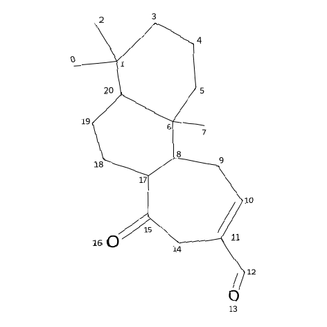 CC1(C)CCCC2(C)C3CC=C(C=O)CC(=O)C3CCC12